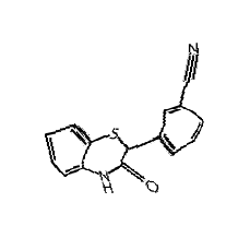 N#Cc1cccc(C2Sc3ccccc3NC2=O)c1